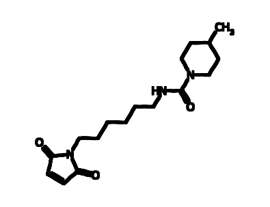 CC1CCN(C(=O)NCCCCCCN2C(=O)C=CC2=O)CC1